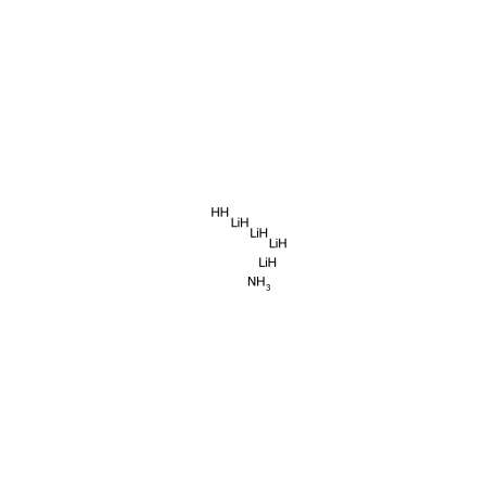 N.[HH].[LiH].[LiH].[LiH].[LiH]